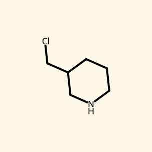 ClCC1CCCNC1